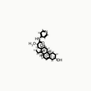 C[C@H](C(=O)Nc1ccncc1)[C@H]1CC[C@H]2[C@@H]3CC=C4C[C@@H](O)CC[C@]4(C)[C@H]3CC[C@]12C